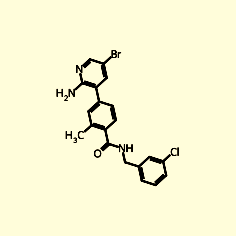 Cc1cc(-c2cc(Br)cnc2N)ccc1C(=O)NCc1cccc(Cl)c1